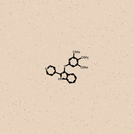 COc1cc(Sc2c(-c3ccncc3)[nH]c3ccccc23)cc(OC)c1OC